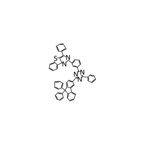 c1ccc(-c2nc(-c3cccc(-c4nc(-c5ccccc5)c5sc6ccccc6c5n4)c3)nc(-c3ccc4c(c3)-c3ccccc3C4(c3ccccc3)c3ccccc3)n2)cc1